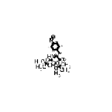 CC(C)(C)OC(=O)N[C@@H](Cc1ccc(N=O)cc1)C(=O)OC(C)(C)C